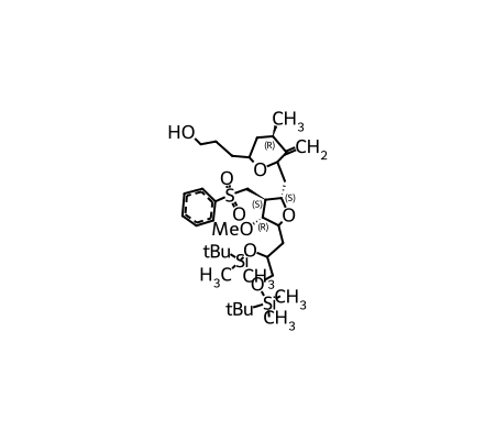 C=C1C(C[C@@H]2OC(CC(CO[Si](C)(C)C(C)(C)C)O[Si](C)(C)C(C)(C)C)[C@H](OC)[C@H]2CS(=O)(=O)c2ccccc2)OC(CCCO)C[C@H]1C